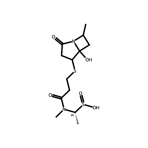 CC1CC2(O)C(SCCC(=O)N(C)[C@@H](C)S(=O)O)CC(=O)N12